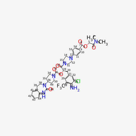 CN(C)C(=O)COC(=O)c1ccc(N2CCN(C(=O)[C@@H](Cc3cc(Cl)c(N)c(C(F)(F)F)c3)OC(=O)N3CCC(N4CCc5ccccc5NC4=O)CC3)CC2)cc1